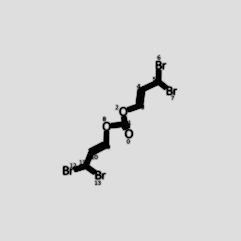 O=C(OC=CC(Br)Br)OC=CC(Br)Br